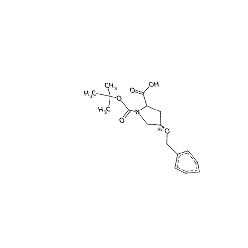 CC(C)(C)OC(=O)N1C[C@H](OCc2ccccc2)CC1C(=O)O